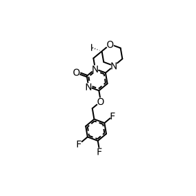 O=c1nc(OCc2cc(F)c(F)cc2F)cc2n1C[C@]1(I)CN2CCO1